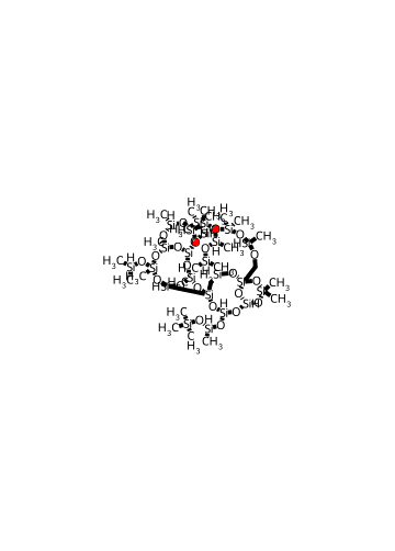 C[SiH](C)O[SiH](C)O[SiH](C)[SiH]1O[SiH](C)O[Si]2(C)O[Si](C)(O[SiH](C)C)O[SiH]3O[Si]4(C)O[Si](O1)(O[SiH]([Si](C)(C)C)O[Si](C)(C)O[SiH](C)OC[Si]15O[SiH2]C[Si]3(O[SiH](O[SiH](C)O[Si](C)(C)C)O[SiH](O[Si](C)(C)O1)O5)O4)O2